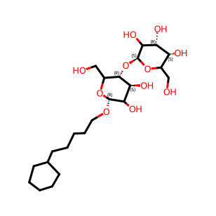 OCC1O[C@@H](O[C@H]2C(CO)O[C@@H](OCCCCCC3CCCCC3)C(O)[C@@H]2O)C(O)[C@H](O)[C@@H]1O